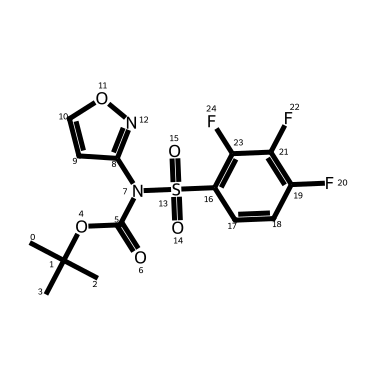 CC(C)(C)OC(=O)N(c1ccon1)S(=O)(=O)c1ccc(F)c(F)c1F